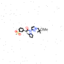 COC(C)(C)Cn1ccc(NC(=O)[C@H](CC2CCCC2)c2cccc(S(C)(=O)=O)c2)n1